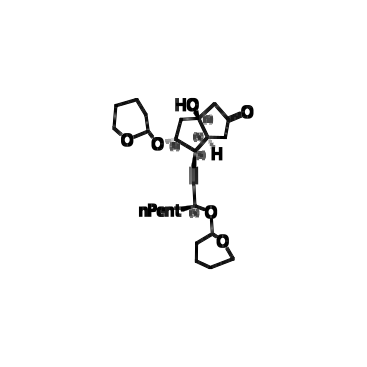 CCCCC[C@@H](C#C[C@H]1[C@H](OC2CCCCO2)C[C@]2(O)CC(=O)C[C@@H]12)OC1CCCCO1